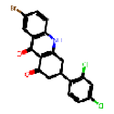 O=C1CC(c2ccc(Cl)cc2Cl)Cc2[nH]c3ccc(Br)cc3c(=O)c21